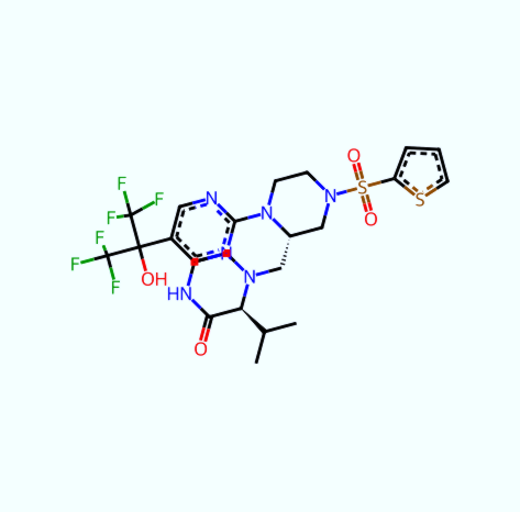 CC(C)[C@H]1C(=O)NCCN1C[C@H]1CN(S(=O)(=O)c2cccs2)CCN1c1ncc(C(O)(C(F)(F)F)C(F)(F)F)cn1